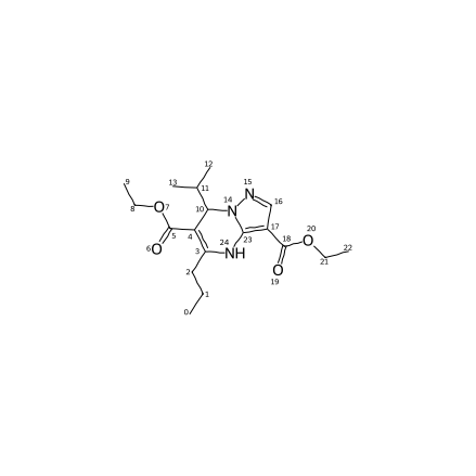 CCCC1=C(C(=O)OCC)C(C(C)C)n2ncc(C(=O)OCC)c2N1